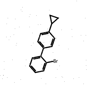 Brc1ccccc1-c1c[c]c(C2CC2)cc1